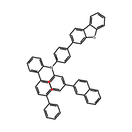 c1ccc(-c2ccc(-c3ccccc3N(c3ccc(-c4ccc5c(c4)sc4ccccc45)cc3)c3cccc(-c4ccc5ccccc5c4)c3)cc2)cc1